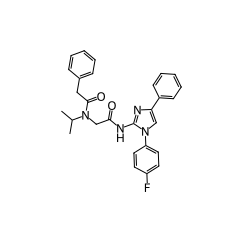 CC(C)N(CC(=O)Nc1nc(-c2ccccc2)cn1-c1ccc(F)cc1)C(=O)Cc1ccccc1